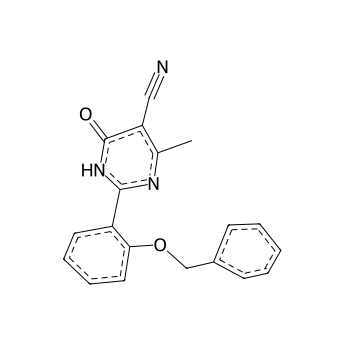 Cc1nc(-c2ccccc2OCc2ccccc2)[nH]c(=O)c1C#N